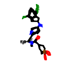 CN(C(=O)C1CCS(=O)(=O)CC1)[C@@H](c1ccc(NC2Cc3c(F)ccc(F)c3C2)cn1)C(F)(F)F